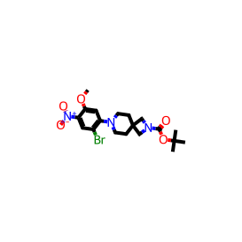 COc1cc(N2CCC3(CC2)CN(C(=O)OC(C)(C)C)C3)c(Br)cc1[N+](=O)[O-]